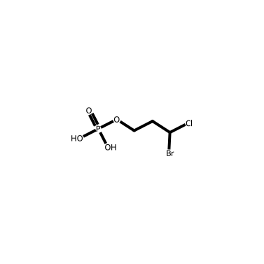 O=P(O)(O)OCCC(Cl)Br